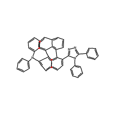 c1ccc(-c2nnc(-c3ccccc3-c3cccc4cccc(-c5ccccc5N(c5ccccc5)c5ccccc5)c34)n2-c2ccccc2)cc1